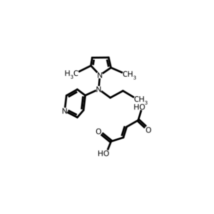 CCCN(c1ccncc1)n1c(C)ccc1C.O=C(O)C=CC(=O)O